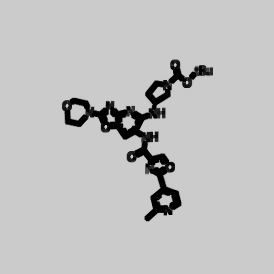 Cc1cc(-c2nc(C(=O)Nc3cc4oc(N5CCOCC5)nc4nc3N[C@H]3CCN(C(=O)OC(C)(C)C)C3)co2)ccn1